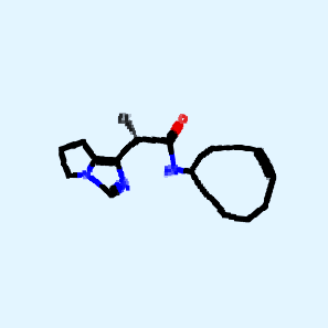 CC[C@H](C(=O)NC1CC/C=C\CCCC1)c1ncn2c1CCC2